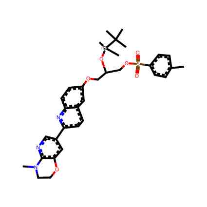 Cc1ccc(S(=O)(=O)OCC(COc2ccc3nc(-c4cnc5c(c4)OCCN5C)ccc3c2)O[Si](C)(C)C(C)(C)C)cc1